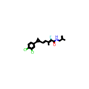 C=C(C)CNC(=O)/C(F)=C(C)/C=C/C1CC1c1ccc(Cl)c(Cl)c1